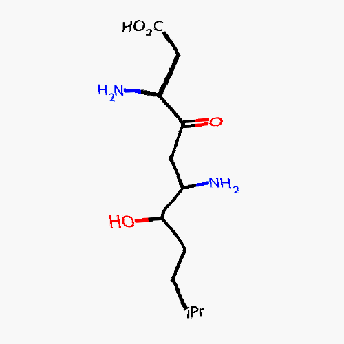 CC(C)CCC(O)C(N)CC(=O)C(N)CC(=O)O